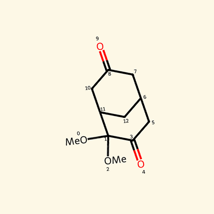 COC1(OC)C(=O)CC2CC(=O)CC1C2